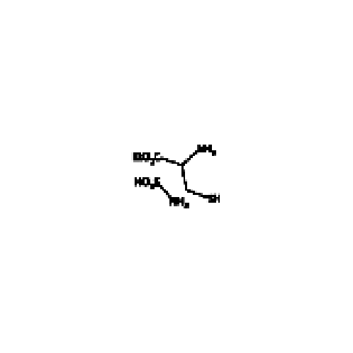 CCOC(=O)C(N)CS.NS(=O)(=O)O